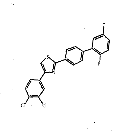 Fc1ccc(F)c(-c2ccc(-c3nc(-c4ccc(Cl)c(Cl)c4)cs3)cc2)c1